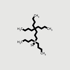 CCCCC(CCCC)(CCCC)CCCP(=[Se])(CCCC)CCCC